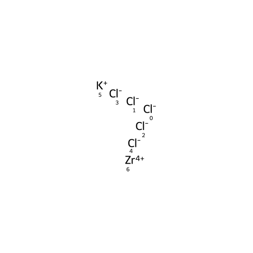 [Cl-].[Cl-].[Cl-].[Cl-].[Cl-].[K+].[Zr+4]